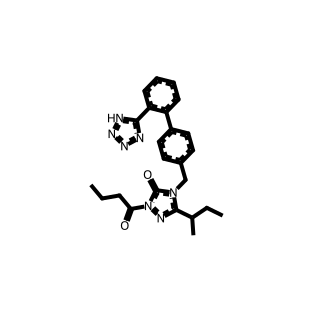 CCCC(=O)n1nc(C(C)CC)n(Cc2ccc(-c3ccccc3-c3nnn[nH]3)cc2)c1=O